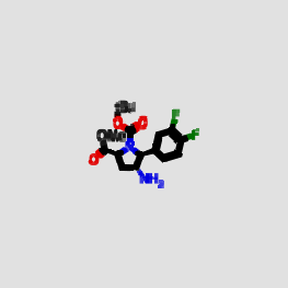 COC(=O)[C@@H]1C[C@@H](N)[C@H](c2ccc(F)c(F)c2)N1C(=O)OC(C)(C)C